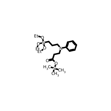 CCO[Si](CCCN(CCC(=O)O[Si](C)(C)C)c1ccccc1)(OCC)OCC